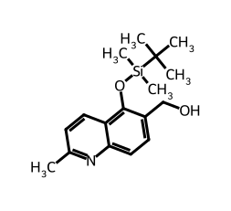 Cc1ccc2c(O[Si](C)(C)C(C)(C)C)c(CO)ccc2n1